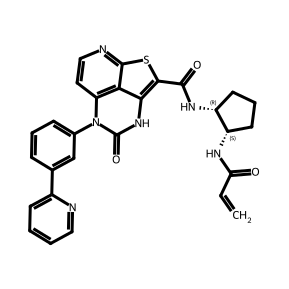 C=CC(=O)N[C@H]1CCC[C@H]1NC(=O)c1sc2nccc3c2c1NC(=O)N3c1cccc(-c2ccccn2)c1